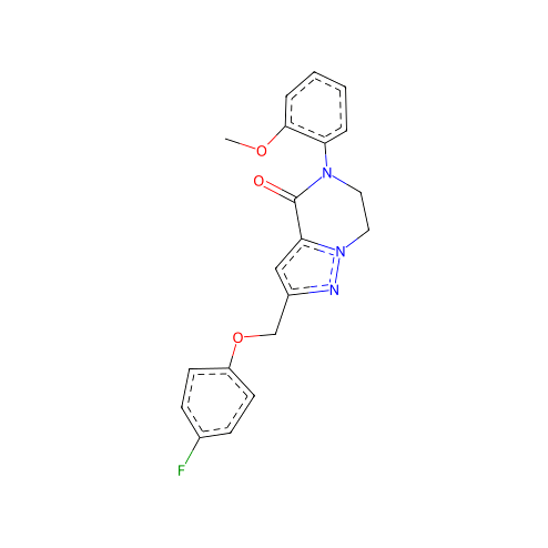 COc1ccccc1N1CCn2nc(COc3ccc(F)cc3)cc2C1=O